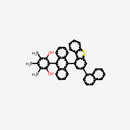 Bc1c(B)c(O)c(-c2c3ccccc3c(-c3cc(-c4cccc5ccccc45)cc4sc5ccccc5c34)c3ccccc23)c(O)c1B